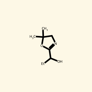 CCC(O)C1=NCC(C)(C)O1